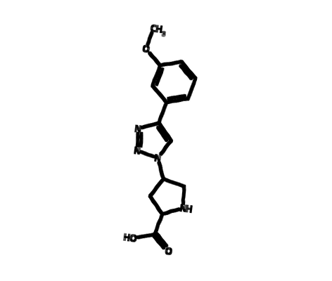 COc1cccc(-c2cn(C3CNC(C(=O)O)C3)nn2)c1